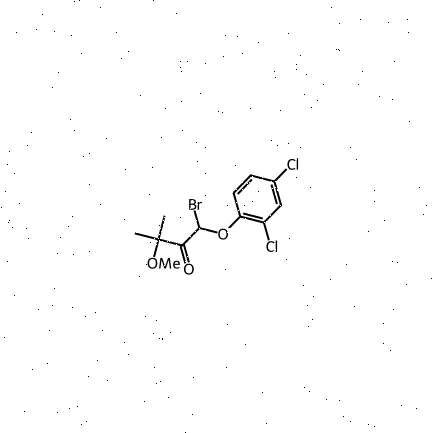 COC(C)(C)C(=O)C(Br)Oc1ccc(Cl)cc1Cl